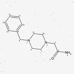 NC(=O)CN1CCN(Cc2ccccc2)CC1